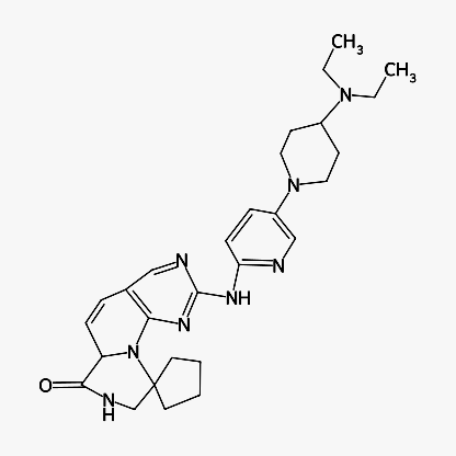 CCN(CC)C1CCN(c2ccc(Nc3ncc4c(n3)N3C(C=C4)C(=O)NCC34CCCC4)nc2)CC1